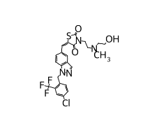 CN(CCO)CCN1C(=O)SC(=Cc2ccc3c(cnn3Cc3ccc(Cl)cc3C(F)(F)F)c2)C1=O